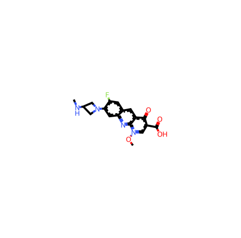 CNC1CN(c2cc3nc4c(cc3cc2F)c(=O)c(C(=O)O)cn4OC)C1